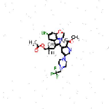 CO[C@@H](C)c1ncc(N2CCN(CC(F)(F)F)CC2)cc1-c1c(CC(C)(C)COC(C)=O)c2cc(Br)cc3c2n1CCO3